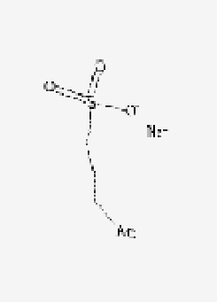 CC(=O)CCCS(=O)(=O)[O-].[Na+]